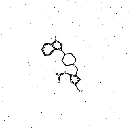 CC(C)c1nc(CN2CCC(c3c[nH]c4ccccc34)CC2)c(N=S(=O)=O)s1